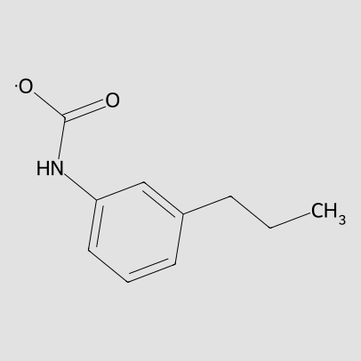 CCCc1cccc(NC([O])=O)c1